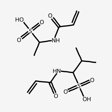 C=CC(=O)NC(C(C)C)S(=O)(=O)O.C=CC(=O)NC(C)S(=O)(=O)O